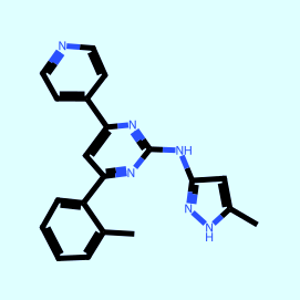 Cc1cc(Nc2nc(-c3ccncc3)cc(-c3ccccc3C)n2)n[nH]1